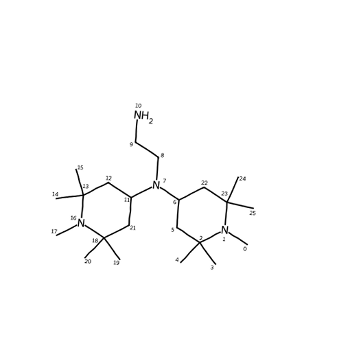 CN1C(C)(C)CC(N(CCN)C2CC(C)(C)N(C)C(C)(C)C2)CC1(C)C